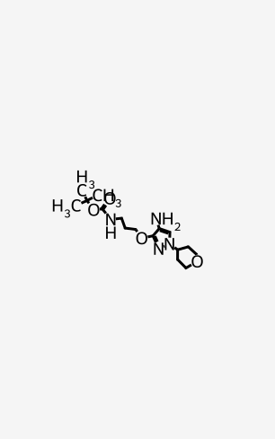 CC(C)(C)OC(=O)NCCCOc1nn(C2CCOCC2)cc1N